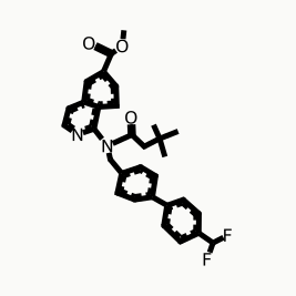 COC(=O)c1ccc2c(N(Cc3ccc(-c4ccc(C(F)F)cc4)cc3)C(=O)CC(C)(C)C)nccc2c1